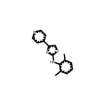 Cc1cccc(C)c1Nc1nc(-c2ccncc2)cs1